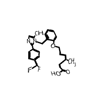 Cc1cnc(-c2ccc(C(F)F)cc2)n1Cc1ccccc1OCCC[C@@H](C)CC(=O)O